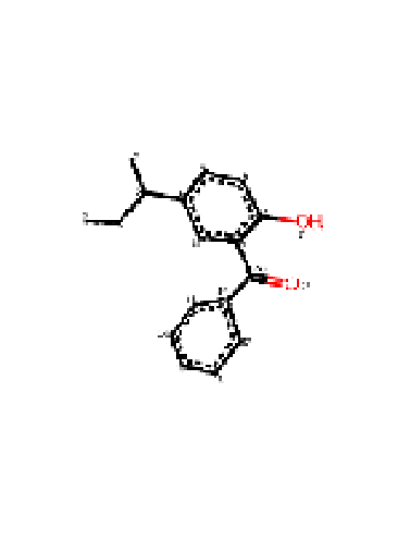 CCC(C)c1ccc(O)c(C(=O)c2ccccc2)c1